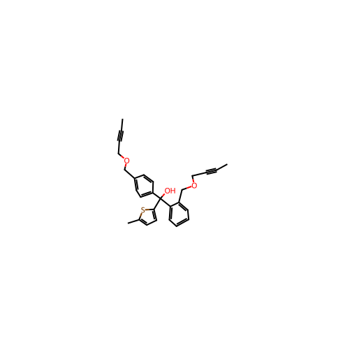 CC#CCOCc1ccc(C(O)(c2ccc(C)s2)c2ccccc2COCC#CC)cc1